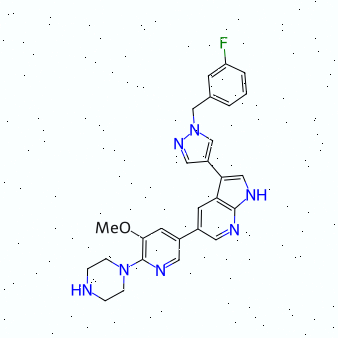 COc1cc(-c2cnc3[nH]cc(-c4cnn(Cc5cccc(F)c5)c4)c3c2)cnc1N1CCNCC1